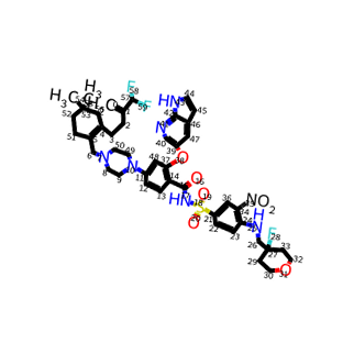 C=C(CCC1=C(CN2CCN(c3ccc(C(=O)NS(=O)(=O)c4ccc(NCC5(F)CCOCC5)c([N+](=O)[O-])c4)c(Oc4cnc5[nH]ccc5c4)c3)CC2)CCC(C)(C)C1)C(F)F